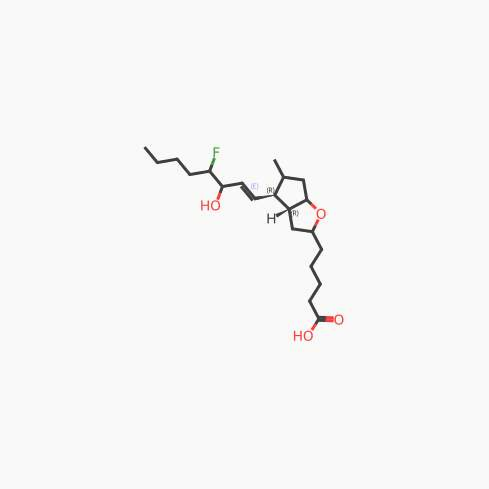 CCCCC(F)C(O)/C=C/[C@H]1C(C)CC2OC(CCCCC(=O)O)C[C@@H]21